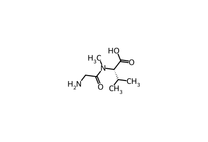 CC(C)[C@@H](C(=O)O)N(C)C(=O)CN